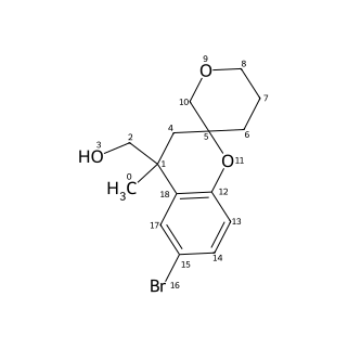 CC1(CO)CC2(CCCOC2)Oc2ccc(Br)cc21